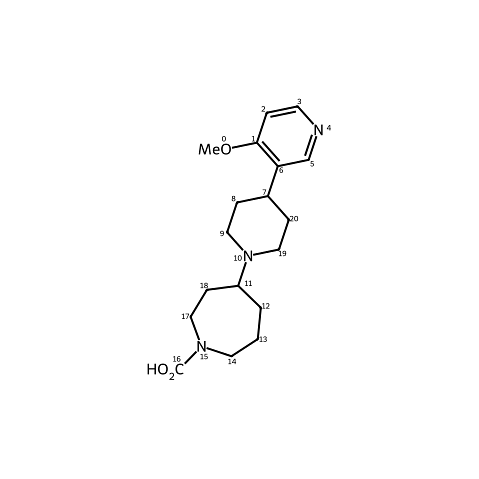 COc1ccncc1C1CCN(C2CCCN(C(=O)O)CC2)CC1